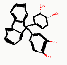 Oc1ccc(C2(C3=CC[C@@H](O)[C@@H](O)C3)c3ccccc3-c3ccccc32)cc1O